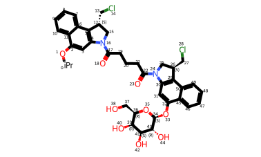 CC(C)Oc1cc2c(c3ccccc13)[C@H](CCl)CN2C(=O)CCCC(=O)N1C[C@@H](CCl)c2c1cc(O[C@@H]1O[C@H](CO)[C@H](O)[C@H](O)[C@H]1O)c1ccccc21